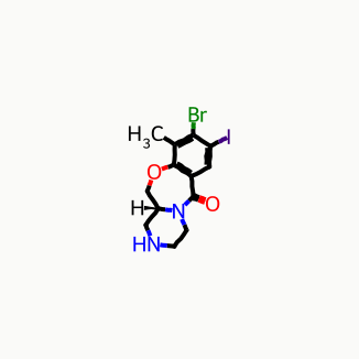 Cc1c(Br)c(I)cc2c1OC[C@H]1CNCCN1C2=O